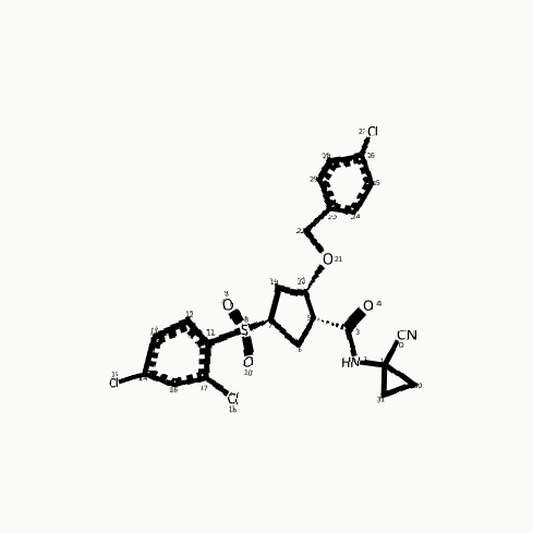 N#CC1(NC(=O)[C@@H]2C[C@@H](S(=O)(=O)c3ccc(Cl)cc3Cl)C[C@H]2OCc2ccc(Cl)cc2)CC1